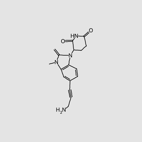 C=C1N(C)c2cc(C#CCN)ccc2N1C1CCC(=O)NC1=O